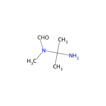 CN(C=O)C(C)(C)N